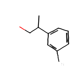 [CH2]C(CO)c1cccc(C#N)c1